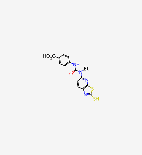 CCN(C(=O)Nc1ccc(C(=O)O)cc1)c1ccc2nc(S)sc2n1